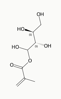 C=C(C)C(=O)OC(O)[C@@H](O)[C@@H](O)CO